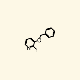 Ic1ncccc1OCc1ccccc1